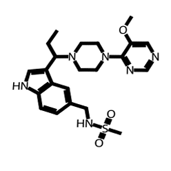 CCC(c1c[nH]c2ccc(CNS(C)(=O)=O)cc12)N1CCN(c2ncncc2OC)CC1